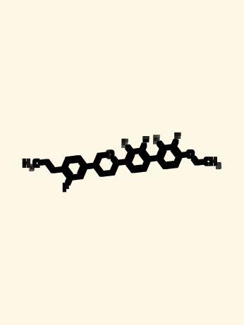 CCCc1ccc(C2CCC(c3ccc(-c4ccc(OCC)c(F)c4F)c(F)c3F)OC2)cc1F